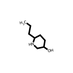 CCCC1CCC(O)CN1